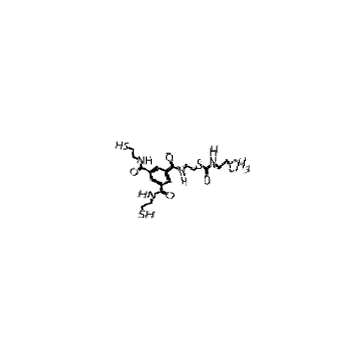 CCCNC(=O)SCCNC(=O)c1cc(C(=O)NCCS)cc(C(=O)NCCS)c1